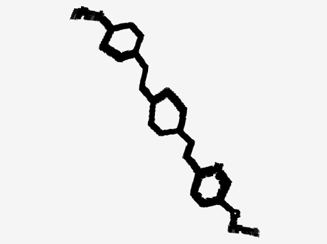 CCCCCOc1ccc(CCC2CCC(CCC3CCC(CCCCC)CC3)CC2)nc1